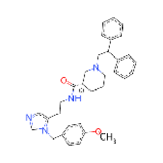 COc1ccc(Cn2cncc2CCNC(=O)[C@H]2CCCN(CC(c3ccccc3)c3ccccc3)C2)cc1